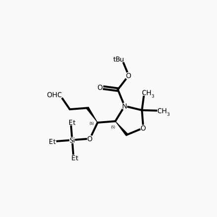 CC[Si](CC)(CC)O[C@@H](CCC=O)[C@@H]1COC(C)(C)N1C(=O)OC(C)(C)C